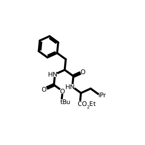 CCOC(=O)C(CC(C)C)NC(=O)C(Cc1ccccc1)NC(=O)OC(C)(C)C